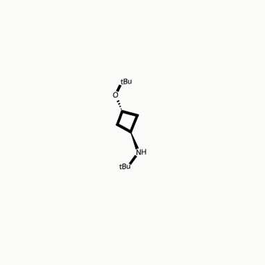 CC(C)(C)N[C@H]1C[C@H](OC(C)(C)C)C1